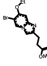 CCOc1cc2nc(CCC(=O)OC)cn2cc1Br